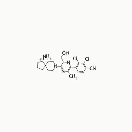 Cc1nc(N2CCC3(CCC[C@H]3N)CC2)c(CO)nc1-c1ccc(C#N)c(Cl)c1Cl